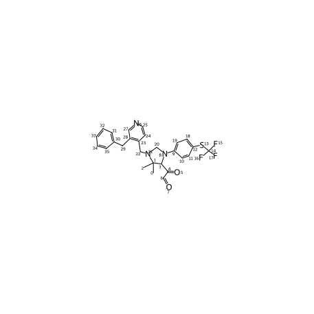 CC1(C)C(C(=O)C=O)N(c2ccc(SC(F)(F)F)cc2)CN1Cc1ccncc1Cc1ccccc1